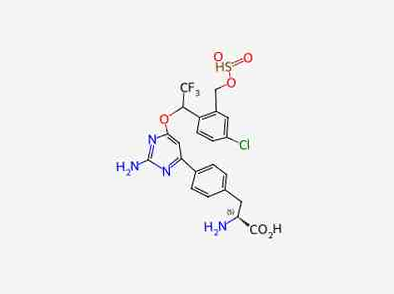 Nc1nc(OC(c2ccc(Cl)cc2CO[SH](=O)=O)C(F)(F)F)cc(-c2ccc(C[C@H](N)C(=O)O)cc2)n1